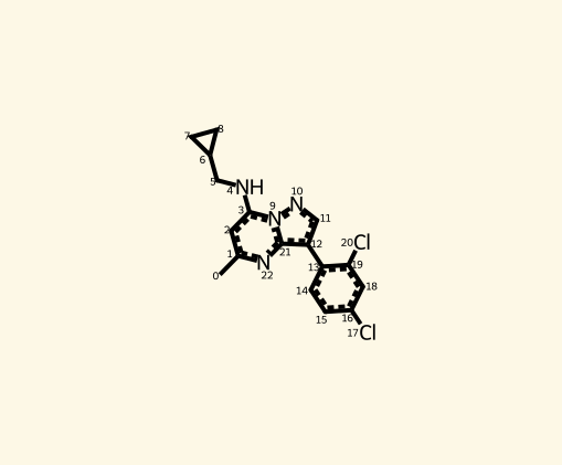 Cc1cc(NCC2CC2)n2ncc(-c3ccc(Cl)cc3Cl)c2n1